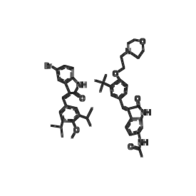 CC(=O)Nc1ccc2c(c1)NC(=O)/C2=C\c1ccc(OCCN2CCOCC2)c(C(C)(C)C)c1.COc1c(C(C)C)cc(/C=C2\C(=O)Nc3ccc(Br)cc32)cc1C(C)C